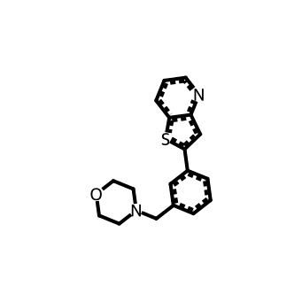 c1cc(CN2CCOCC2)cc(-c2cc3ncccc3s2)c1